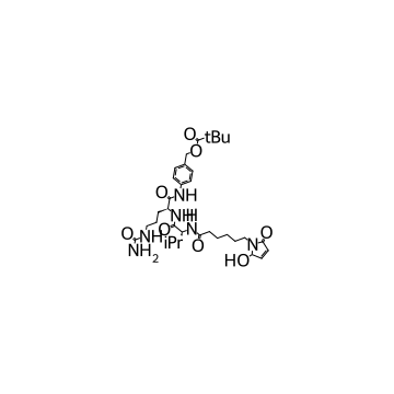 CC(C)[C@H](NC(=O)CCCCCN1C(=O)C=CC1O)C(=O)N[C@@H](CCCNC(N)=O)C(=O)Nc1ccc(COC(=O)C(C)(C)C)cc1